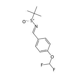 CC(C)(C)[S@@+]([O-])/N=C/c1ccc(OC(F)F)cc1